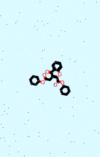 O=C(Cc1c(C(=O)OC2CCCCC2)oc2ccccc2c1=O)OC1CCCCC1